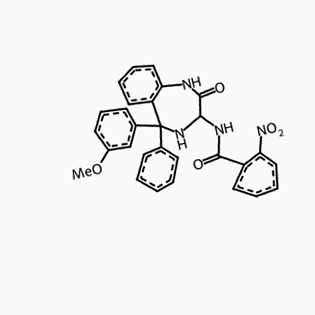 COc1cccc(C2(c3ccccc3)NC(NC(=O)c3ccccc3[N+](=O)[O-])C(=O)Nc3ccccc32)c1